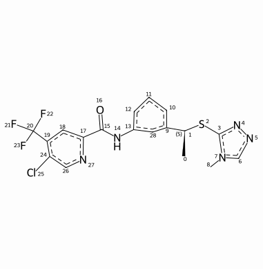 C[C@H](Sc1nncn1C)c1cccc(NC(=O)c2cc(C(F)(F)F)c(Cl)cn2)c1